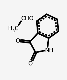 CC=O.O=C1Nc2ccccc2C1=O